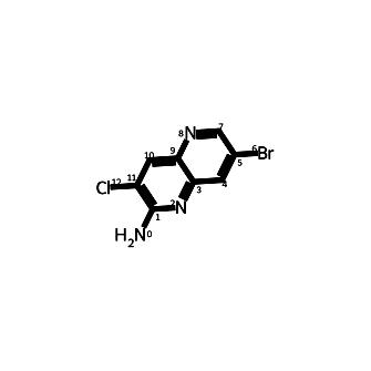 Nc1nc2cc(Br)cnc2cc1Cl